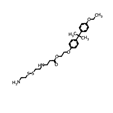 CCOc1ccc(C(C)(C)c2ccc(OCCOC(=O)CCNCCSSCCN)cc2)cc1